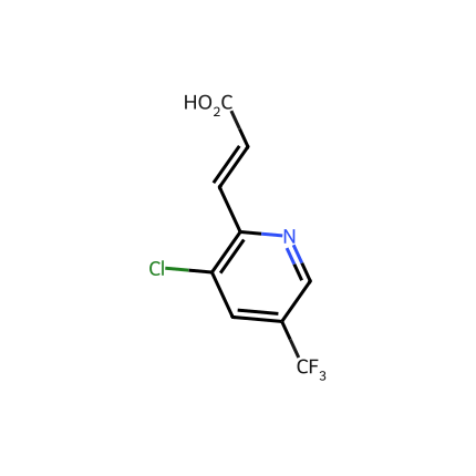 O=C(O)C=Cc1ncc(C(F)(F)F)cc1Cl